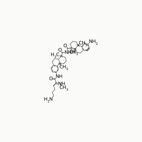 CN[C@@H](CCCCN)C(=O)Nc1ccc2c(c1)[C@@]1(C)CCC[C@](C)(C(=O)NC(=O)[C@@]3(C)CCC[C@]4(C)c5cc(N)c#cc5CC[C@@H]34)C1CC2